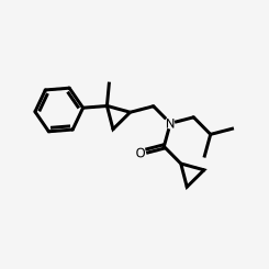 CC(C)CN(CC1CC1(C)c1ccccc1)C(=O)C1CC1